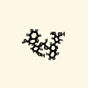 COc1cc(-c2ccc(O)cc2OC(C)Oc2cc(-c3ccc(O)c(O)c3)nc3ccccc23)nc2ccccc12